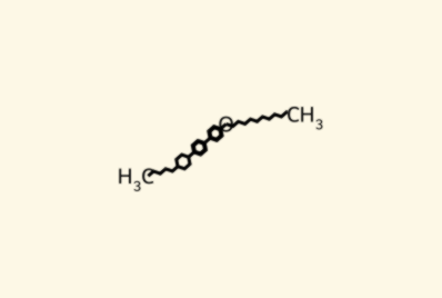 CCCCCCCCCCCOc1ccc(-c2ccc(C3CCC(CCCCC)CC3)cc2)cc1